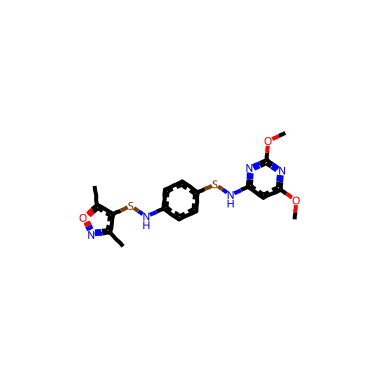 COc1cc(NSc2ccc(NSc3c(C)noc3C)cc2)nc(OC)n1